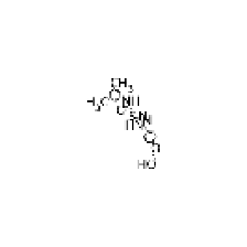 Cc1cc(C)cc(NC(=O)CSc2nnc(-c3ccc(OCCO)cc3)[nH]2)c1